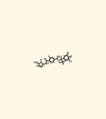 Cc1cc(C2=NOC(c3cc(Cl)c(F)c(Cl)c3)(C(F)(F)F)C2)ccc1C(=O)NC1=NNC(S)N1